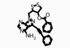 Nc1ncnc2c1c(C#Cc1ccccc1)nn2CC1SSCC1OC(=O)c1ccccc1